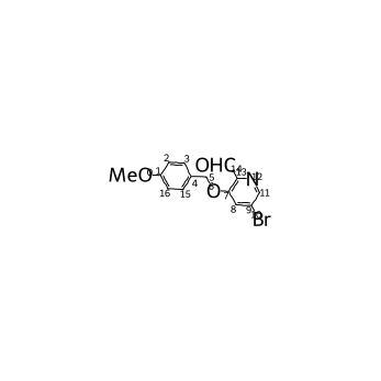 COc1ccc(COc2cc(Br)cnc2C=O)cc1